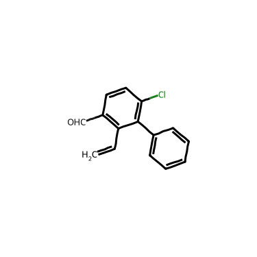 C=Cc1c(C=O)ccc(Cl)c1-c1ccccc1